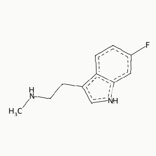 CNCCc1c[nH]c2cc(F)ccc12